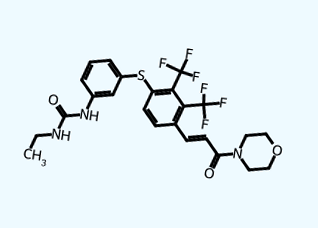 CCNC(=O)Nc1cccc(Sc2ccc(/C=C/C(=O)N3CCOCC3)c(C(F)(F)F)c2C(F)(F)F)c1